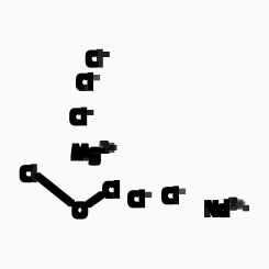 ClOCl.[Cl-].[Cl-].[Cl-].[Cl-].[Cl-].[Mg+2].[Nd+3]